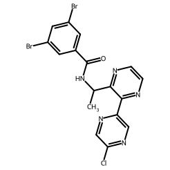 CC(NC(=O)c1cc(Br)cc(Br)c1)c1nccnc1-c1cnc(Cl)cn1